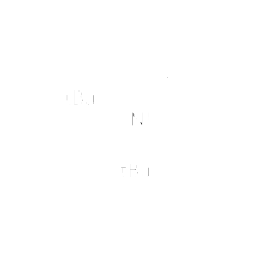 CC(C)(C)[N+]1(C(C)(C)C)CC1